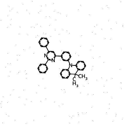 CC1(C)c2ccccc2N(c2cccc(-c3cc(-c4ccccc4)nc(-c4ccccc4)n3)c2)c2ccccc21